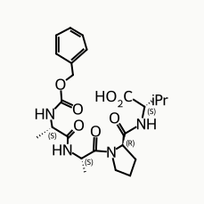 CC(C)[C@H](NC(=O)[C@H]1CCCN1C(=O)[C@H](C)NC(=O)[C@H](C)NC(=O)OCc1ccccc1)C(=O)O